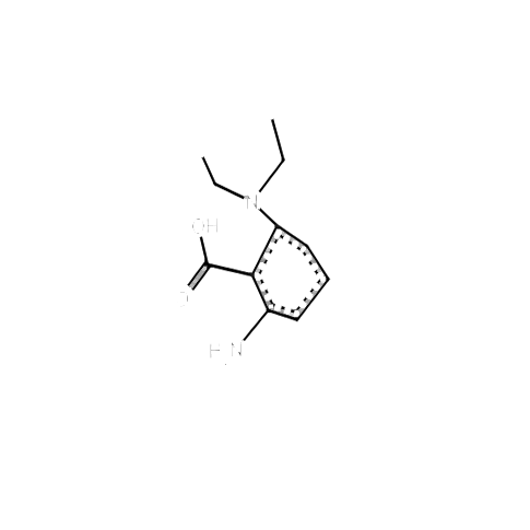 CCN(CC)c1cccc(N)c1C(=O)O